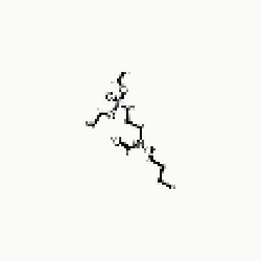 CCCCON(C=O)CCCP(=O)(OCC)OCC